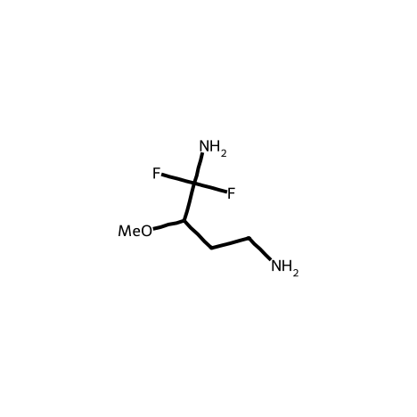 COC(CCN)C(N)(F)F